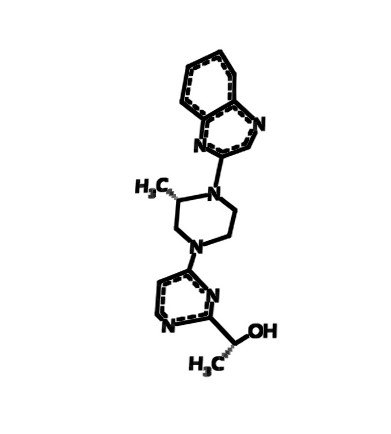 C[C@@H](O)c1nccc(N2CCN(c3cnc4ccccc4n3)[C@@H](C)C2)n1